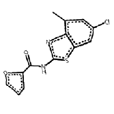 Cc1cc(Cl)cc2sc(NC(=O)c3ccco3)nc12